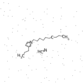 C#N.CCCCCCCCCCn1ccc(CCC)c1